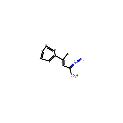 C/C(=C\C(=[N+]=[N-])C(=O)O)c1ccccc1